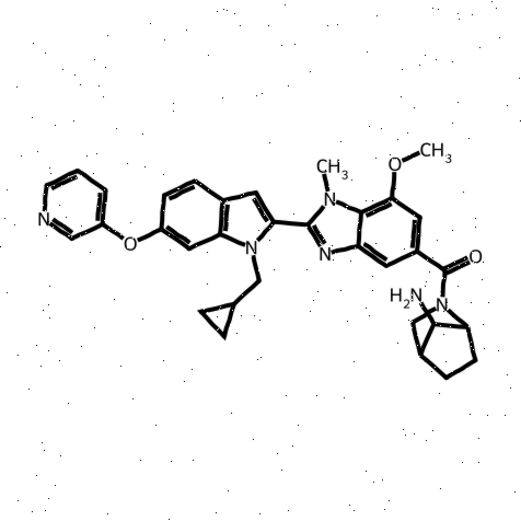 COc1cc(C(=O)N2CC3CCC2C3N)cc2nc(-c3cc4ccc(Oc5cccnc5)cc4n3CC3CC3)n(C)c12